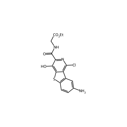 CCOC(=O)CNC(=O)c1nc(Cl)c2c(sc3ccc(N)cc32)c1O